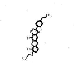 CCCc1ccc(/C(F)=C(\F)c2cc3c(c(F)c2F)Oc2c(ccc(OCC)c2F)C3)cc1